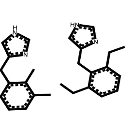 CCc1cccc(CC)c1Cc1c[nH]cn1.Cc1cccc(Cc2c[nH]cn2)c1C